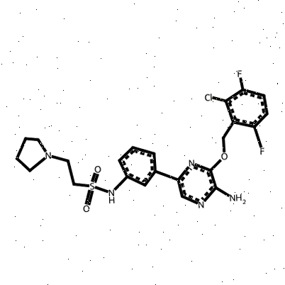 Nc1ncc(-c2cccc(NS(=O)(=O)CCN3CCCC3)c2)nc1OCc1c(F)ccc(F)c1Cl